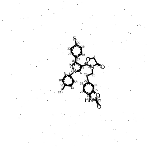 O=C1COC(c2cn(-c3ccc(I)cc3)nc2-c2ccc(F)cc2)N1CCc1ccc2[nH]c(=O)oc2c1